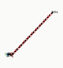 COCCOCCOCCOCCOCCOCCOCCOCCOCCOCCOCCOCCOCCOCCOCCOCCOCCOCCOCCOCCS(=O)(=O)CCC(C)(C)N(Cl)Cl